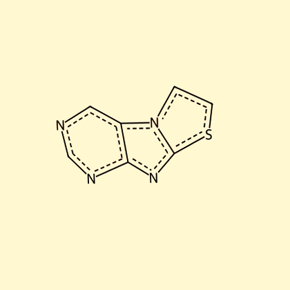 c1ncc2c(n1)nc1sccn12